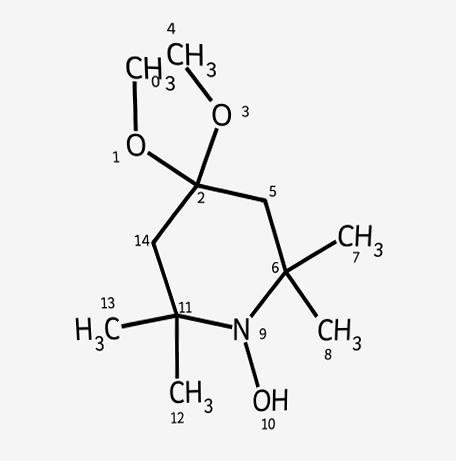 COC1(OC)CC(C)(C)N(O)C(C)(C)C1